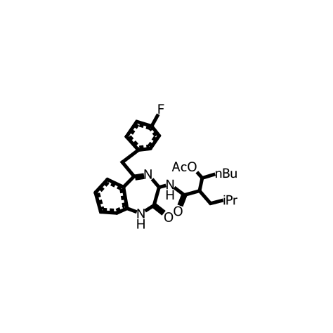 CCCCC(OC(C)=O)C(CC(C)C)C(=O)NC1N=C(Cc2ccc(F)cc2)c2ccccc2NC1=O